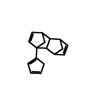 C1=CCC(C23C=CC(C2)C2C4C=CC(C4)C23)=C1